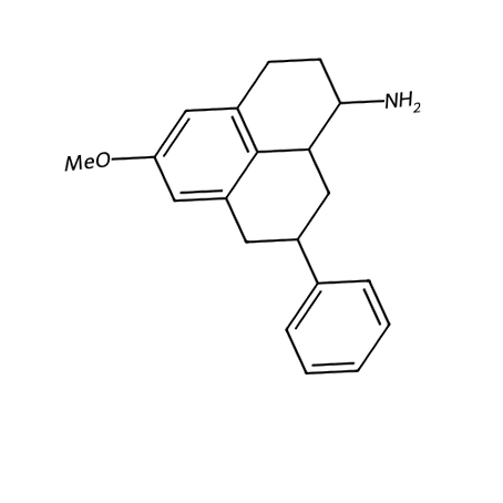 COc1cc2c3c(c1)CC(c1ccccc1)CC3C(N)CC2